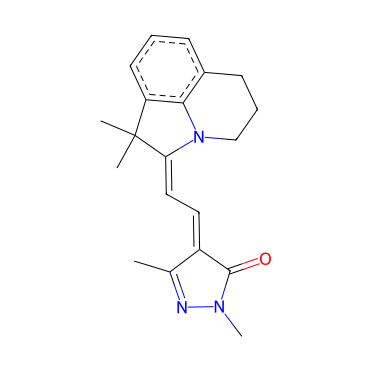 CC1=NN(C)C(=O)/C1=C/C=C1\N2CCCc3cccc(c32)C1(C)C